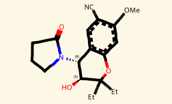 CCC1(CC)Oc2cc(OC)c(C#N)cc2[C@@H](N2CCCC2=O)[C@@H]1O